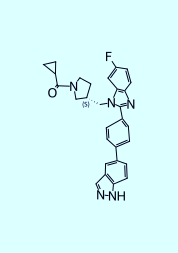 O=C(C1CC1)N1CC[C@H](Cn2c(-c3ccc(-c4ccc5[nH]ncc5c4)cc3)nc3ccc(F)cc32)C1